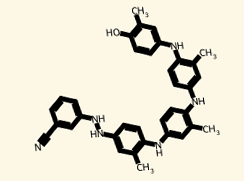 Cc1cc(Nc2ccc(Nc3ccc(Nc4ccc(NNc5cccc(C#N)c5)cc4C)cc3C)cc2C)ccc1O